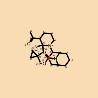 CC(=O)C1CCCN(C2OCC3CCCC2N3C(=O)O)C1(N)CC1(C)CC1